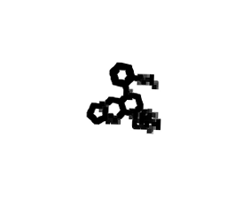 CC(=O)C1C(CN2CCCC2)N(c2ccccc2N)CCN1C(=O)O.Cl.Cl